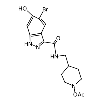 CC(=O)ON1CCC(CNC(=O)c2n[nH]c3cc(O)c(Br)cc23)CC1